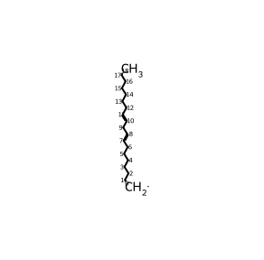 [CH2]CCCCCCC=CCC=CCCCCCCC